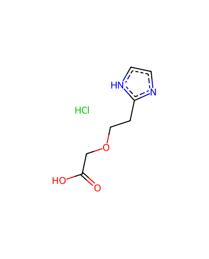 Cl.O=C(O)COCCc1ncc[nH]1